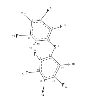 Fc1c(F)c(F)c(Sc2c(F)c(F)c(F)c(F)c2F)c(F)c1F